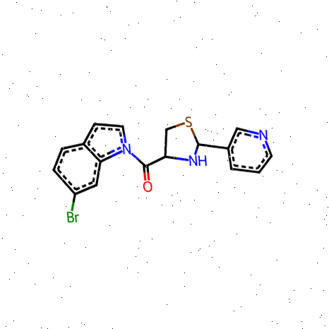 O=C(C1CSC(c2cccnc2)N1)n1ccc2ccc(Br)cc21